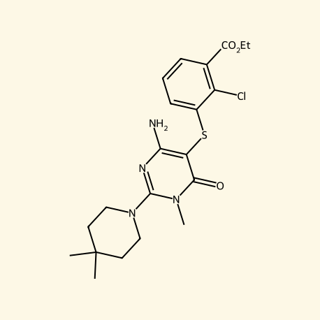 CCOC(=O)c1cccc(Sc2c(N)nc(N3CCC(C)(C)CC3)n(C)c2=O)c1Cl